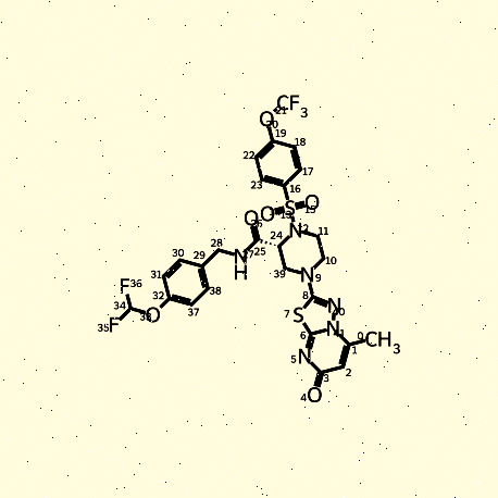 Cc1cc(=O)nc2sc(N3CCN(S(=O)(=O)c4ccc(OC(F)(F)F)cc4)[C@@H](C(=O)NCc4ccc(OC(F)F)cc4)C3)nn12